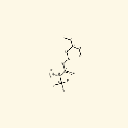 CCC(CC)CCOC(=O)C(N)C(C)(C)C